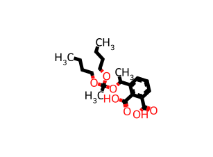 CCCCOC(C)(OCCCC)OC(C)c1cccc(C(=O)O)c1C(=O)O